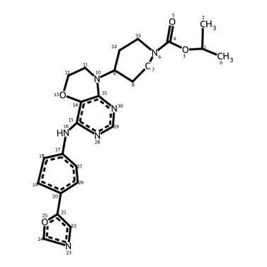 CC(C)OC(=O)N1CCC(N2CCOc3c(Nc4ccc(-c5cnco5)cc4)ncnc32)CC1